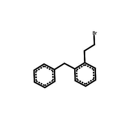 BrCCc1ccccc1Cc1ccccc1